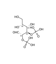 O=C[C@@H](OP(=O)(O)O)[C@H](OP(=O)(O)O)[C@@H](O)[C@H](O)CO